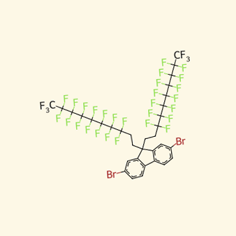 FC(F)(F)C(F)(F)C(F)(F)C(F)(F)C(F)(F)C(F)(F)C(F)(F)C(F)(F)CCC1(CCC(F)(F)C(F)(F)C(F)(F)C(F)(F)C(F)(F)C(F)(F)C(F)(F)C(F)(F)F)c2cc(Br)ccc2-c2ccc(Br)cc21